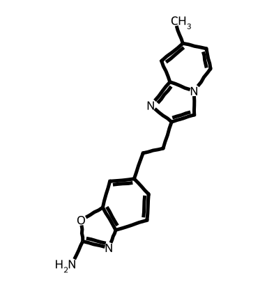 Cc1ccn2cc(CCc3ccc4nc(N)oc4c3)nc2c1